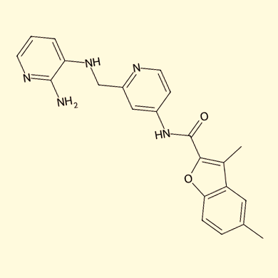 Cc1ccc2oc(C(=O)Nc3ccnc(CNc4cccnc4N)c3)c(C)c2c1